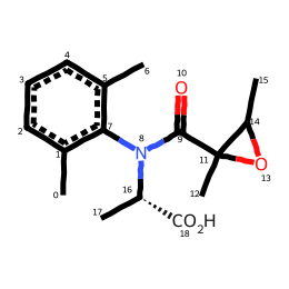 Cc1cccc(C)c1N(C(=O)C1(C)OC1C)[C@@H](C)C(=O)O